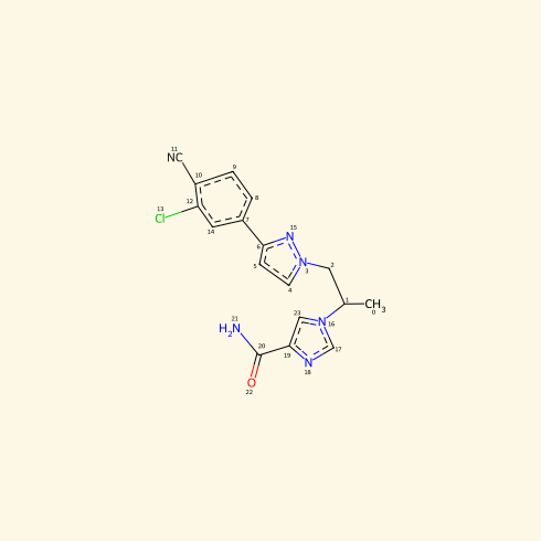 CC(Cn1ccc(-c2ccc(C#N)c(Cl)c2)n1)n1cnc(C(N)=O)c1